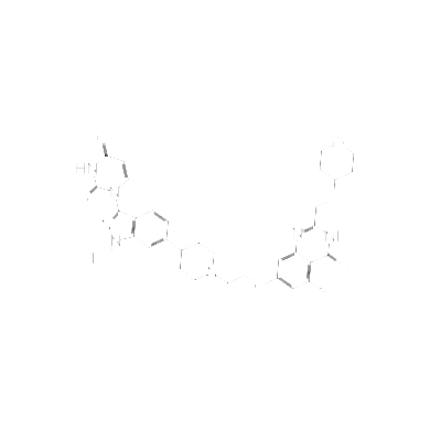 Cn1nc(-n2ccc(=O)[nH]c2=O)c2ccc(C3CCN(CCOc4cc(F)c5c(=O)[nH]c(CSC6CCOCC6)nc5c4)CC3)cc21